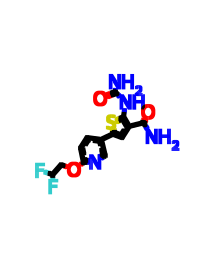 NC(=O)Nc1sc(-c2ccc(OCC(F)F)nc2)cc1C(N)=O